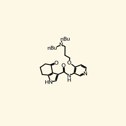 CCCCN(CCCC)CCCOc1ccncc1NC(=O)c1c[nH]c2c1C(=O)CCC2